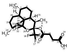 C[C@@H]1CC[C@H]2[C@@H](C)[C@](OC(=O)CCC(=O)O)(C(F)(F)F)O[C@@H]3O[C@]4(C)CC[C@@H]1C32OO4